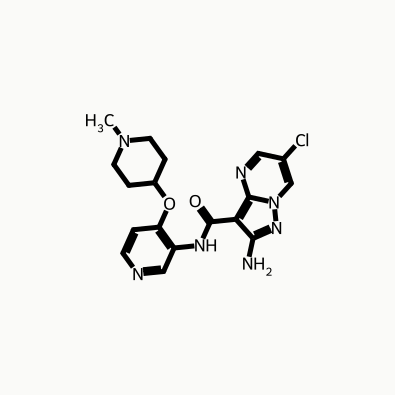 CN1CCC(Oc2ccncc2NC(=O)c2c(N)nn3cc(Cl)cnc23)CC1